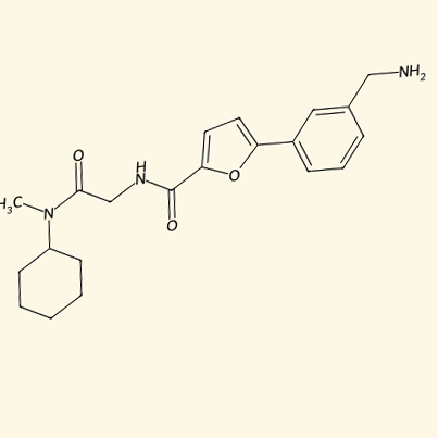 CN(C(=O)CNC(=O)c1ccc(-c2cccc(CN)c2)o1)C1CCCCC1